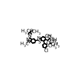 COC1(C)CN(c2nn(C)c3ccc(-c4nc5cc(C)c(C(OC(C)(C)C)C(=O)O)c(-c6ccc(Cl)cc6)c5s4)cc23)C1